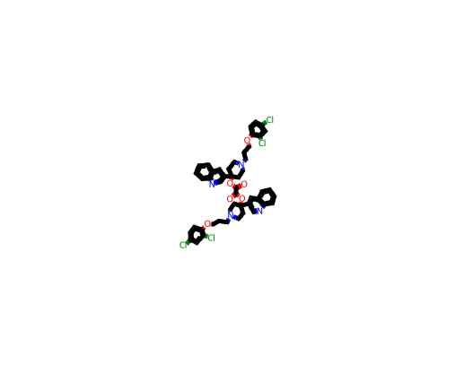 O=C(OC1(c2cnc3ccccc3c2)CCN(CCCOc2ccc(Cl)cc2Cl)CC1)C(=O)OC1(c2cnc3ccccc3c2)CCN(CCCOc2ccc(Cl)cc2Cl)CC1